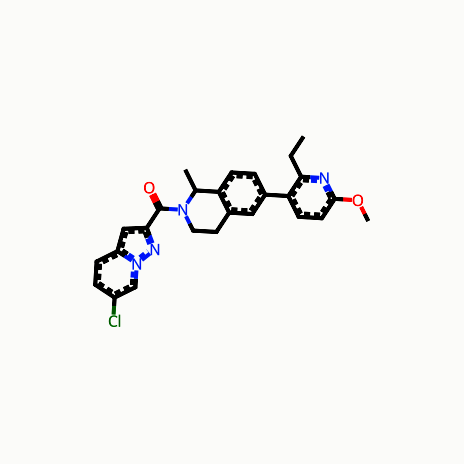 CCc1nc(OC)ccc1-c1ccc2c(c1)CCN(C(=O)c1cc3ccc(Cl)cn3n1)C2C